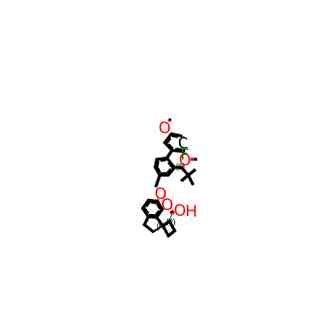 COc1ccc(F)c(-c2ccc(COc3ccc4c(c3)[C@@]3(CC4)CC[C@H]3C(=O)O)cc2[C@@H](OC)C(C)(C)C)c1